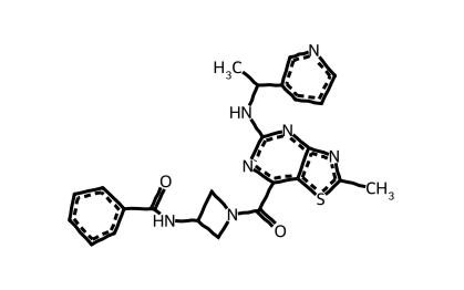 Cc1nc2nc(NC(C)c3cccnc3)nc(C(=O)N3CC(NC(=O)c4ccccc4)C3)c2s1